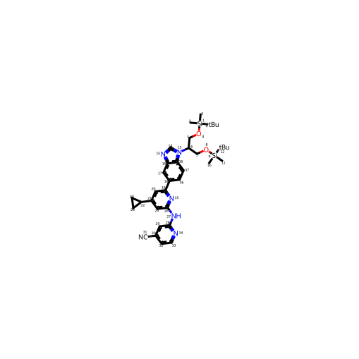 CC(C)(C)[Si](C)(C)OCC(CO[Si](C)(C)C(C)(C)C)n1cnc2cc(-c3cc(C4CC4)cc(Nc4cc(C#N)ccn4)n3)ccc21